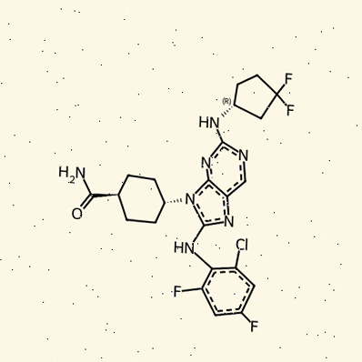 NC(=O)[C@H]1CC[C@H](n2c(Nc3c(F)cc(F)cc3Cl)nc3cnc(N[C@@H]4CCC(F)(F)C4)nc32)CC1